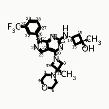 CC1(N2CCOCC2)CN(c2nc(N[C@H]3C[C@@](C)(O)C3)nc3c2cnn3-c2cccc(C(F)(F)F)c2)C1